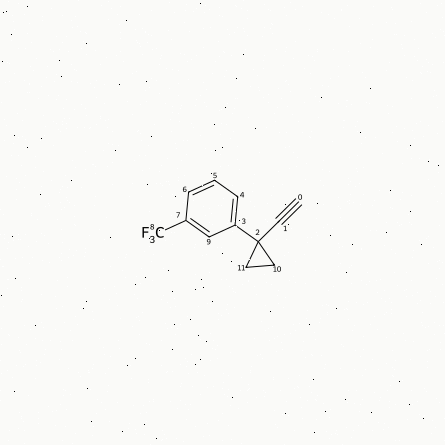 C#CC1(c2cccc(C(F)(F)F)c2)CC1